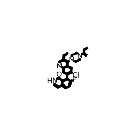 C=CC(=C)N1CCN(c2c(CC)cnc3cc(-c4c(F)ccc5cc[nH]c(=O)c45)c(Cl)cc23)CC1